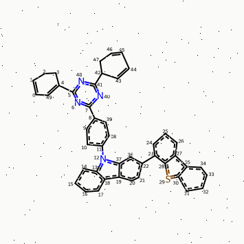 C1=CCCC(c2nc(-c3ccc(-n4c5ccccc5c5ccc(-c6cccc7c6sc6ccccc67)cc54)cc3)nc(C3C=CC=CC3)n2)=C1